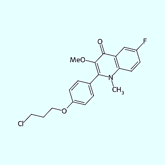 COc1c(-c2ccc(OCCCCl)cc2)n(C)c2ccc(F)cc2c1=O